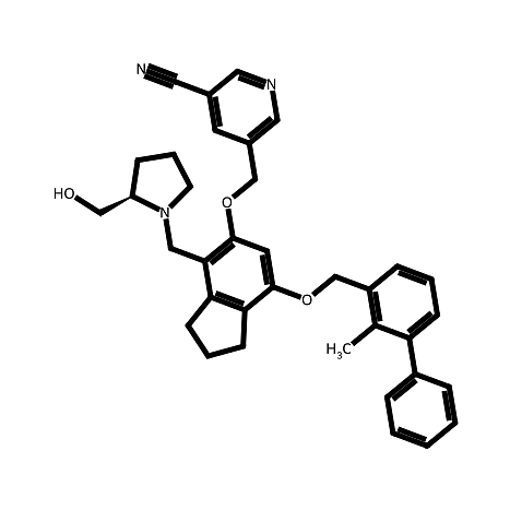 Cc1c(COc2cc(OCc3cncc(C#N)c3)c(CN3CCC[C@@H]3CO)c3c2CCC3)cccc1-c1ccccc1